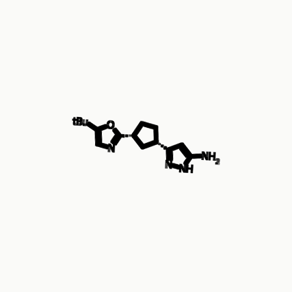 CC(C)(C)c1cnc([C@@H]2CC[C@H](c3cc(N)[nH]n3)C2)o1